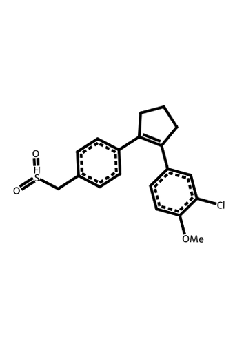 COc1ccc(C2=C(c3ccc(C[SH](=O)=O)cc3)CCC2)cc1Cl